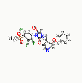 CS(=O)(=O)c1c(F)cc(N2C(=O)CN(Cc3ccncc3OCc3ccccc3)C2=O)c(F)c1F